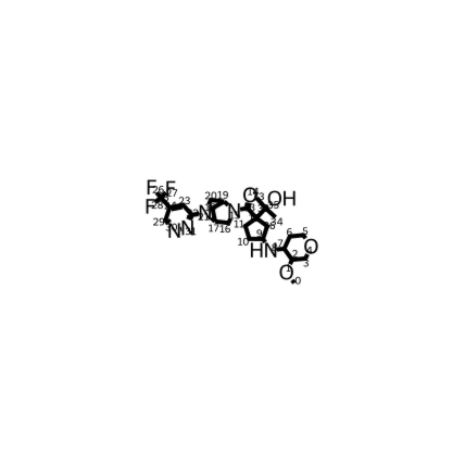 COC1COCCC1NC1CCC(C(=O)N2CC3CC2CN3c2cc(C(F)(F)F)cnn2)(C(C)(C)O)C1